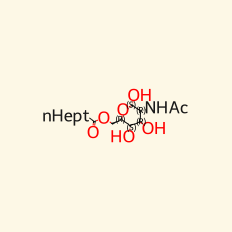 CCCCCCCC(=O)OC[C@H]1O[C@H](O)[C@H](NC(C)=O)[C@@H](O)[C@@H]1O